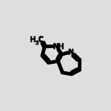 C=C1C=CC2=C(N=CC=CC2)N1